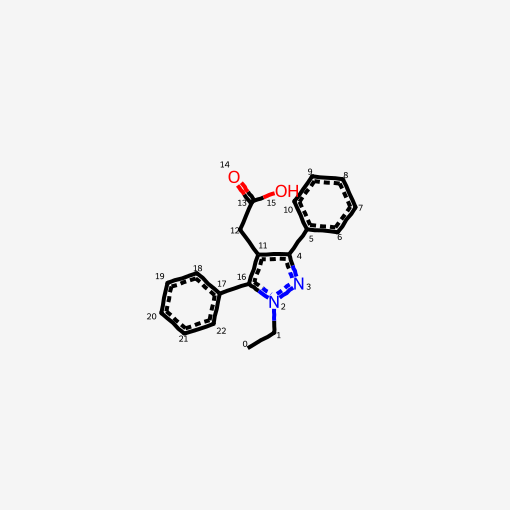 CCn1nc(-c2ccccc2)c(CC(=O)O)c1-c1ccccc1